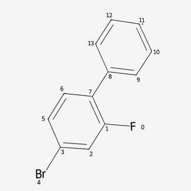 Fc1cc(Br)ccc1-c1cc[c]cc1